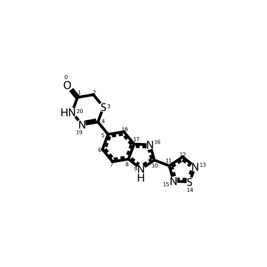 O=C1CSC(c2ccc3[nH]c(-c4cnsn4)nc3c2)=NN1